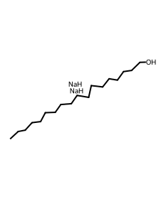 CCCCCCCCCCCCCCCCCCO.[NaH].[NaH]